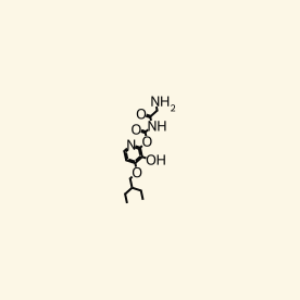 CCC(CC)COc1ccnc(OC(=O)NC(=O)CN)c1O